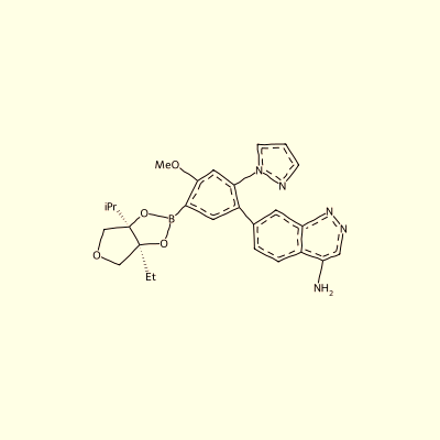 CC[C@]12COC[C@@]1(C(C)C)OB(c1cc(-c3ccc4c(N)cnnc4c3)c(-n3cccn3)cc1OC)O2